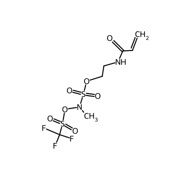 C=CC(=O)NCCOS(=O)(=O)N(C)OS(=O)(=O)C(F)(F)F